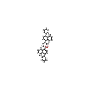 c1ccc(-c2ccc(C3CCC(c4ccc(-c5ccccc5)c5ccccc45)OC3)c3ccccc23)cc1